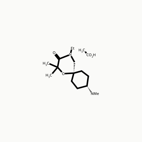 CC(=O)O.CCN1C[C@]2(CC[C@@H](NC)CC2)OC(C)(C)C1=O